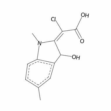 Cc1ccc2c(c1)C(O)C(=C(Cl)C(=O)O)N2C